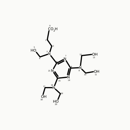 O=C(O)CCN(CO)c1nc(N(CO)CO)nc(N(CO)CO)n1